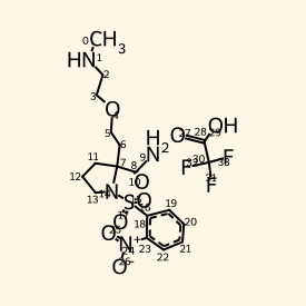 CNCCOCCC1(C(N)=O)CCCN1S(=O)(=O)c1ccccc1[N+](=O)[O-].O=C(O)C(F)(F)F